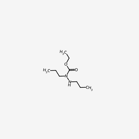 CCCNN(CCC)C(=O)OCC